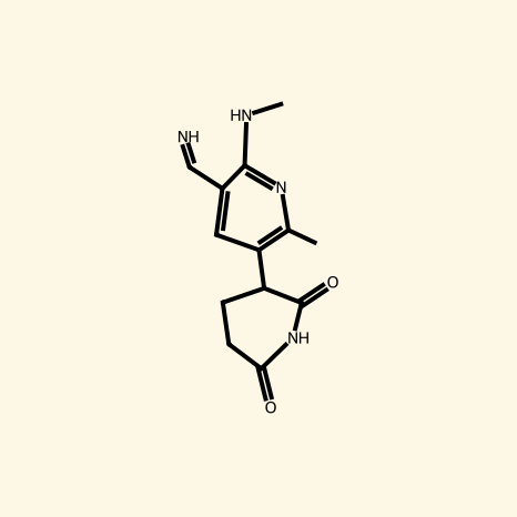 CNc1nc(C)c(C2CCC(=O)NC2=O)cc1C=N